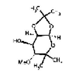 CO[C@@H]1[C@@H](O)[C@H]2OC(C)(C)O[C@H]2OC1(C)C